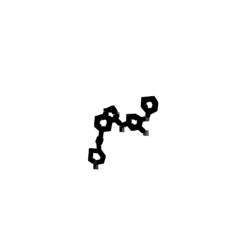 Clc1cc(Nc2ncnc3ccc(C#CC4CCNCC4)cc23)ccc1Oc1ccccc1